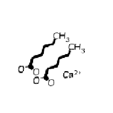 CCCCCC(=O)[O-].CCCCCC(=O)[O-].[Ca+2]